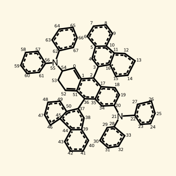 C1=c2c(-c3cc4ccccc4c4ccccc34)c3ccc(N(c4ccccc4)c4ccccc4)cc3c(-c3cc4ccccc4c4ccccc34)c2=CCC1N(c1ccccc1)c1ccccc1